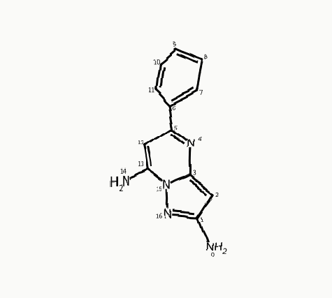 Nc1cc2nc(-c3ccccc3)cc(N)n2n1